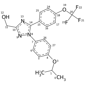 CC(C)Oc1ccc(-n2nc(CO)nc2-c2ccc(OC(F)(F)F)cc2)cc1